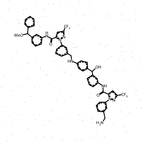 COC(c1ccccc1)c1cccc(NC(=O)c2cc(C(F)(F)F)nn2-c2cccc(CNc3ccc(C(O)c4cccc(NC(=O)c5cc(C(F)(F)F)nn5-c5cccc(CN)c5)c4)cc3)c2)c1